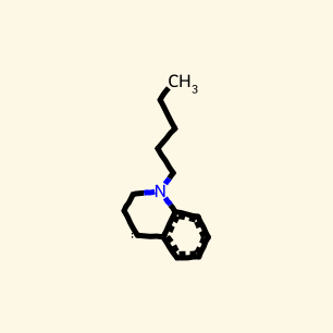 CCCCCN1CC[C]c2ccccc21